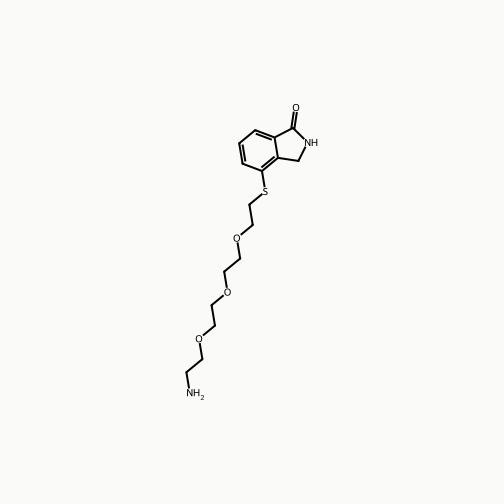 NCCOCCOCCOCCSc1cccc2c1CNC2=O